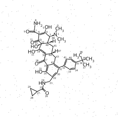 CN(C)[C@@H]1C(O)=C(C(N)=O)C(=O)[C@@]2(O)C(O)=C3C(=O)c4c(O)c(CNC(=O)C5CC5)cc(-c5ccc(C(C)(C)C)cc5)c4C[C@H]3C[C@@H]12